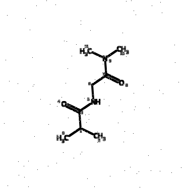 CC(C)C(=O)NCC(=O)N(C)C